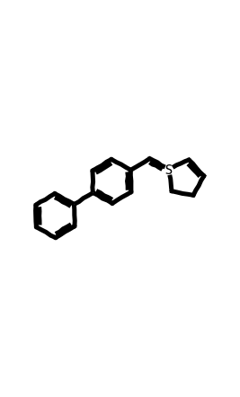 C1=CS(=Cc2ccc(-c3ccccc3)cc2)CC1